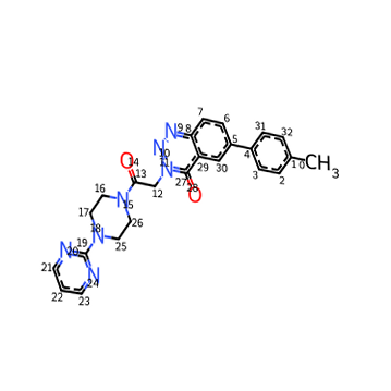 Cc1ccc(-c2ccc3nnn(CC(=O)N4CCN(c5ncccn5)CC4)c(=O)c3c2)cc1